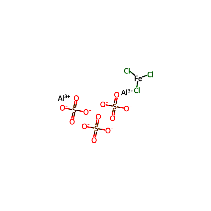 O=S(=O)([O-])[O-].O=S(=O)([O-])[O-].O=S(=O)([O-])[O-].[Al+3].[Al+3].[Cl][Fe]([Cl])[Cl]